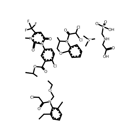 CC(C)OC(=O)c1cc(-n2c(=O)cc(C(F)(F)F)n(C)c2=O)ccc1Cl.CC1COc2ccccc2N1C(=O)C(Cl)Cl.CCOCN(C(=O)CCl)c1c(C)cccc1CC.C[S+](C)C.O=C(O)CNCP(=O)([O-])O